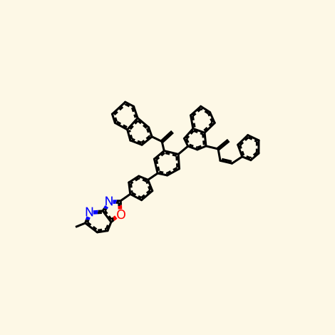 C=C(c1ccc2ccccc2c1)c1cc(-c2ccc(-c3nc4nc(C)ccc4o3)cc2)ccc1-c1cc(C(=C)/C=C\c2ccccc2)c2ccccc2c1